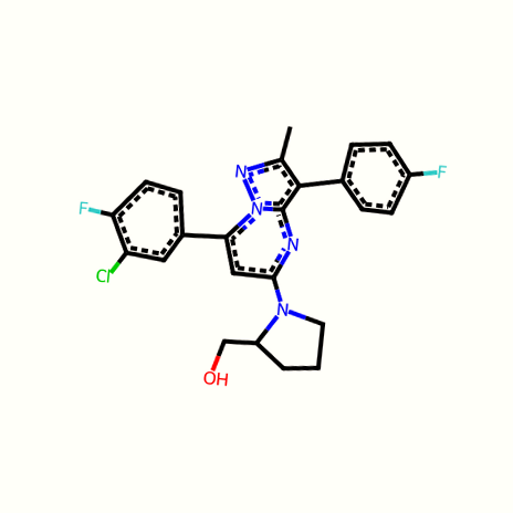 Cc1nn2c(-c3ccc(F)c(Cl)c3)cc(N3CCCC3CO)nc2c1-c1ccc(F)cc1